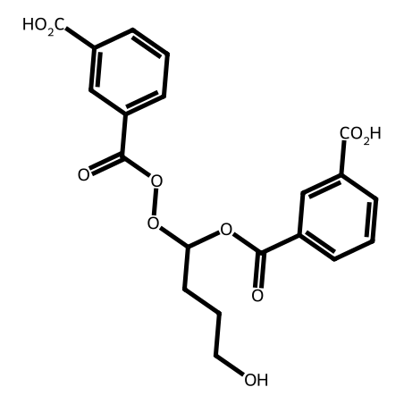 O=C(O)c1cccc(C(=O)OOC(CCCO)OC(=O)c2cccc(C(=O)O)c2)c1